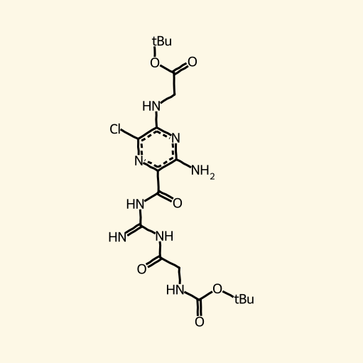 CC(C)(C)OC(=O)CNc1nc(N)c(C(=O)NC(=N)NC(=O)CNC(=O)OC(C)(C)C)nc1Cl